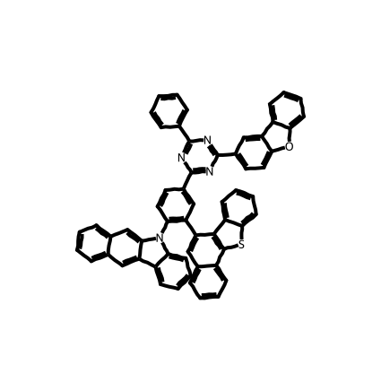 c1ccc(-c2nc(-c3ccc(-n4c5ccccc5c5cc6ccccc6cc54)c(-c4cc5ccccc5c5sc6ccccc6c45)c3)nc(-c3ccc4oc5ccccc5c4c3)n2)cc1